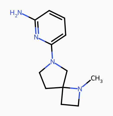 CN1CCC12CCN(c1cccc(N)n1)C2